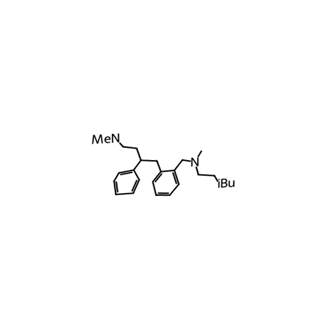 CCC(C)CCN(C)Cc1ccccc1CC(CCNC)c1ccccc1